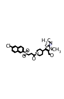 C/N=c1\sc(C2CCN(C(=O)CCS(=O)(=O)c3ccc4cc(Cl)ccc4c3)CC2)c(C=O)n1C